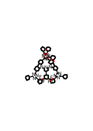 FC(F)(F)c1cc(-c2cc(-n3c4cc(-c5ncnc(-c6ccccc6)n5)ccc4c4ccc(-c5nc(-c6ccccc6)nc(-c6ccccc6)n5)cc43)nc(-n3c4cc(-c5nc(-c6ccccc6)nc(-c6ccccc6)n5)ccc4c4ccc(-c5nc(-c6ccccc6)nc(-c6ccccc6)n5)cc43)c2)cc(C(F)(F)F)c1